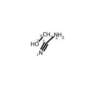 CO.N#CN